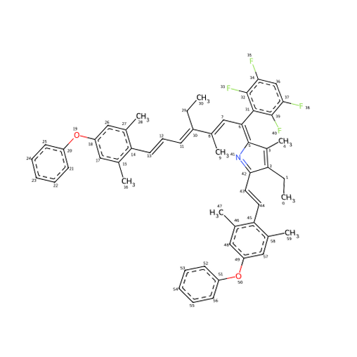 CCC1=C(C)/C(=C(/C=C(C)/C(=C/C=C/c2c(C)cc(Oc3ccccc3)cc2C)CC)c2c(F)c(F)cc(F)c2F)N=C1/C=C/c1c(C)cc(Oc2ccccc2)cc1C